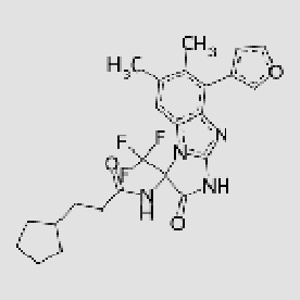 Cc1cc2c(nc3n2C(NC(=O)CCC2CCCC2)(C(F)(F)F)C(=O)N3)c(-c2ccoc2)c1C